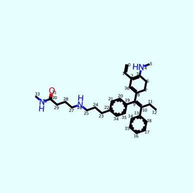 C=CC1=C(NC)CCC(/C(=C(\CC)c2ccccc2)c2ccc(CCCNCCCC(=O)NC)cc2)=C1